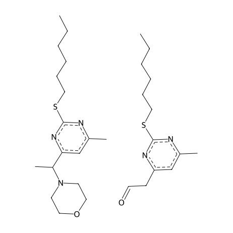 CCCCCCSc1nc(C)cc(C(C)N2CCOCC2)n1.CCCCCCSc1nc(C)cc(CC=O)n1